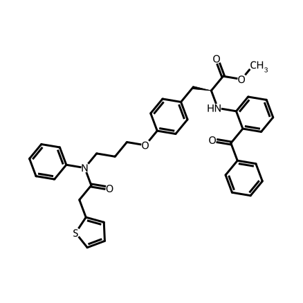 COC(=O)[C@H](Cc1ccc(OCCCN(C(=O)Cc2cccs2)c2ccccc2)cc1)Nc1ccccc1C(=O)c1ccccc1